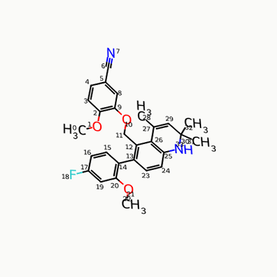 COc1ccc(C#N)cc1OCc1c(-c2ccc(F)cc2OC)ccc2c1C(C)=CC(C)(C)N2